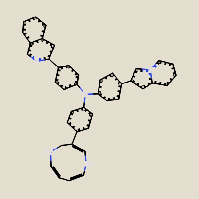 C1=C\N/C=C(/c2ccc(N(c3ccc(-c4cc5ccccn5c4)cc3)c3ccc(-c4cc5ccccc5cn4)cc3)cc2)CN\C=C/1